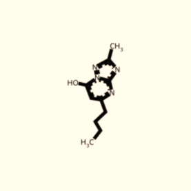 CCCCc1cc(O)n2nc(C)nc2n1